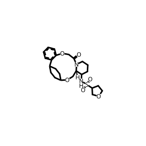 O=C1COc2ccccc2C2CCC(CC2)OC[C@H]2C(NS(=O)(=O)C3CCOC3)CCCN12